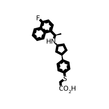 C[C@@H](N[C@H]1CC[C@@H](c2ccc(SCC(=O)O)cc2)C1)c1ccc(F)c2ccccc12